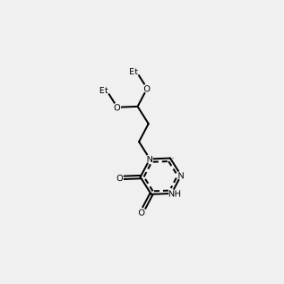 CCOC(CCn1[c]n[nH]c(=O)c1=O)OCC